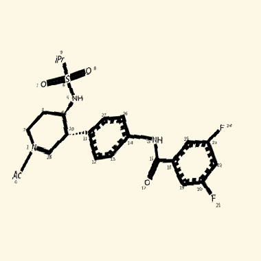 CC(=O)N1CC[C@@H](NS(=O)(=O)C(C)C)[C@H](c2ccc(NC(=O)c3cc(F)cc(F)c3)cc2)C1